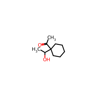 CC(=O)C1(C(C)O)CCCCC1